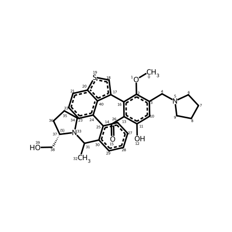 COc1c(CN2CCCC2)cc(O)c(C=O)c1-c1csc2cccc(-c3ccccc3C(C)N3CCC[C@H]3CO)c12